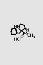 CN1N=C2CCNCC2(Cc2ccccc2)C1=O.Cl